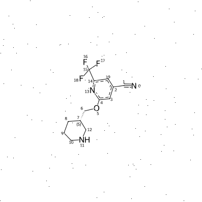 N#Cc1cc(OC[C@H]2CCCNC2)nc(C(F)(F)F)c1